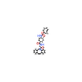 O=C(NC1CCCC(C(=O)NCC(=O)N2Cc3ccccc3C#Cc3ccccc32)CC1)O[C@@H]1CC/C=C/CCC1